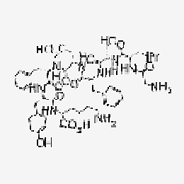 CC(C)C[C@H](NC(=O)CN)C(=O)N[C@@H](CO)C(=O)N[C@@H](Cc1ccccc1)C(=O)N[C@@H](CC(=O)O)C(=O)N[C@@H](Cc1ccccc1)C(=O)N[C@@H](Cc1ccc(O)cc1)C(=O)N[C@@H](CCCCN)C(=O)O